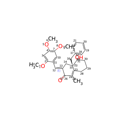 COc1cc(OC)c(OC)cc1/C=C1\C[C@@]2(Cc3ccccc3)C(=C(C)C1=O)CCC[C@@H]2O